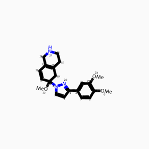 COc1ccc(-c2ccn(C3(OC)C=CC4=C(CCNC4)C3)n2)cc1OC